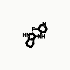 Fc1cnccc1Nc1c[nH]c2ccccc12